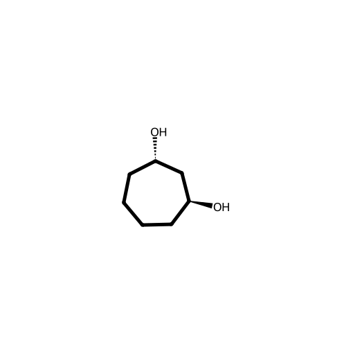 O[C@H]1CCCC[C@H](O)C1